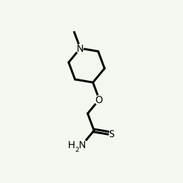 CN1CCC(OCC(N)=S)CC1